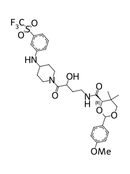 COc1ccc(C2OCC(C)(C)[C@H](C(=O)NCCC(O)C(=O)N3CCC(Nc4cccc(S(=O)(=O)C(F)(F)F)c4)CC3)O2)cc1